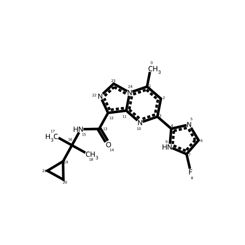 Cc1cc(-c2ncc(F)[nH]2)nc2c(C(=O)NC(C)(C)C3CC3)ncn12